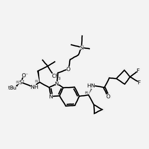 CC(C)(C)[S@@+]([O-])N[C@@H](CC(C)(C)C(F)(F)F)c1nc2ccc([C@H](NC(=O)CC3CC(F)(F)C3)C3CC3)cc2n1COCC[Si](C)(C)C